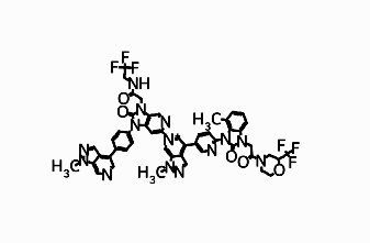 Cc1cccc2c1n(-c1ccc(-c3c[n+](-c4cc5c(cn4)n(CC(=O)NCC(F)(F)F)c(=O)n5-c4ccc(-c5cncc6c5cnn6C)cc4)cc4c3cnn4C)cn1)c(=O)n2CC(=O)N1CCOC(C(F)(F)F)C1